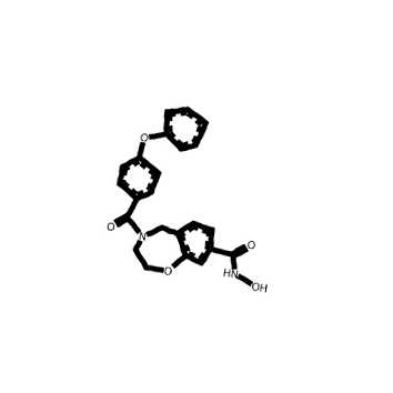 O=C(NO)c1ccc2c(c1)OCCN(C(=O)c1ccc(Oc3ccccc3)cc1)C2